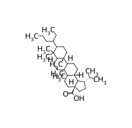 CCCC(CC)C1CC[C@]2(C)[C@H]3CC[C@@H]4[C@H]5[C@H](C(C)C)CC[C@]5(C(=O)O)CC[C@@]4(C)[C@]3(C)CC[C@H]2C1(C)C